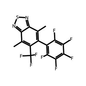 Cc1c(-c2c(F)c(F)c(F)c(F)c2F)c(C(F)(F)F)c(C)c2nsnc12